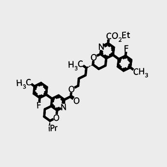 CCOC(=O)c1cc(-c2ccc(C)cc2F)c2c(n1)O[C@@H](C(C)CCCOC(=O)c1cc(-c3ccc(C)cc3F)c3c(n1)O[C@H](C(C)C)CC3)CC2